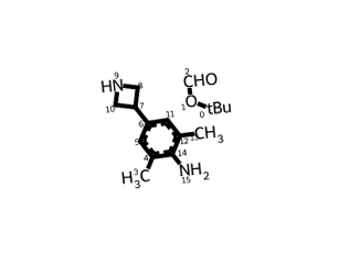 CC(C)(C)OC=O.Cc1cc(C2CNC2)cc(C)c1N